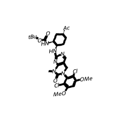 COc1cc(OC)c(Cl)c(N2Cc3cnc(N[C@@H]4CC[C@@H](C(C)=O)C[C@@H]4NC(=O)OC(C)(C)C)nc3N(C)C2=O)c1Cl